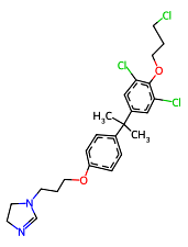 CC(C)(c1ccc(OCCCN2C=NCC2)cc1)c1cc(Cl)c(OCCCCl)c(Cl)c1